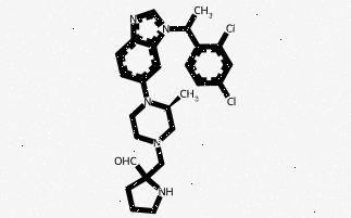 CC(c1ccc(Cl)cc1Cl)n1cnc2ccc(N3CCN(CC4(C=O)CCCN4)C[C@@H]3C)cc21